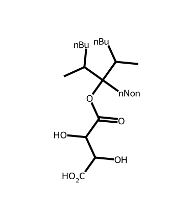 CCCCCCCCCC(OC(=O)C(O)C(O)C(=O)O)(C(C)CCCC)C(C)CCCC